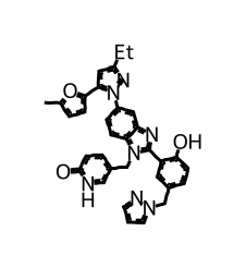 CCc1cc(-c2ccc(C)o2)n(-c2ccc3c(c2)nc(-c2cc(Cn4cccn4)ccc2O)n3Cc2ccc(=O)[nH]c2)n1